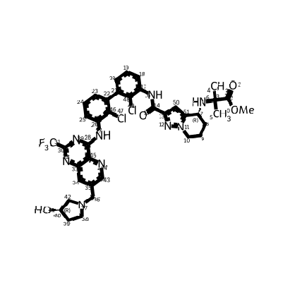 COC(=O)C(C)(C)N[C@@H]1CCCn2nc(C(=O)Nc3cccc(-c4cccc(Nc5nc(C(F)(F)F)nc6cc(CN7CC[C@@H](O)C7)cnc56)c4Cl)c3Cl)cc21